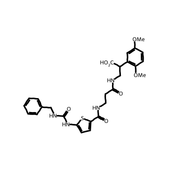 COc1ccc(OC)c(C(CNC(=O)CCNC(=O)c2ccc(NC(=O)NCc3ccccc3)s2)C(=O)O)c1